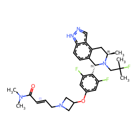 C[C@@H]1Cc2c(ccc3[nH]ncc23)[C@@H](c2c(F)cc(OC3CN(C/C=C/C(=O)N(C)C)C3)cc2F)N1CC(C)(C)F